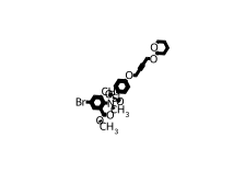 COC(=O)c1cc(Br)cc(C)c1N(C)S(=O)(=O)c1ccc(OCC#CCOC2CCCCO2)cc1